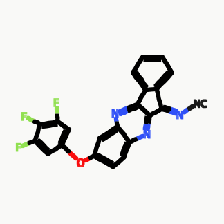 [C-]#[N+]/N=C1\c2ccccc2-c2nc3cc(Oc4cc(F)c(F)c(F)c4)ccc3nc21